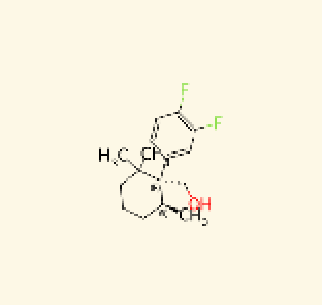 C[C@H]1CCCC(C)(C)[C@@]1(CO)c1ccc(F)c(F)c1